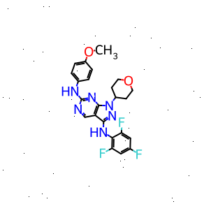 COc1ccc(Nc2ncc3c(Nc4c(F)cc(F)cc4F)nn(C4CCOCC4)c3n2)cc1